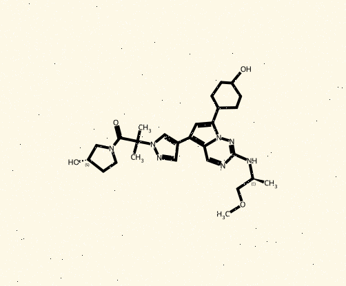 COC[C@H](C)Nc1ncc2c(-c3cnn(C(C)(C)C(=O)N4CC[C@H](O)C4)c3)cc(C3CCC(O)CC3)n2n1